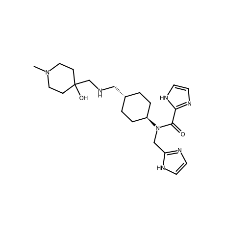 CN1CCC(O)(CNC[C@H]2CC[C@H](N(Cc3ncc[nH]3)C(=O)c3ncc[nH]3)CC2)CC1